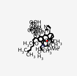 COC(=O)/C(C)=C\CC12OC(C)(C)C3CC(C1=O)C1C4=C(Nc5nccn51)c1c(OP(=O)(O)OP(=O)(O)OP(=O)(O)O)c5c(c(CC=C(C)C)c1OC432)OC(C)(CCC=C(C)C)C=C5